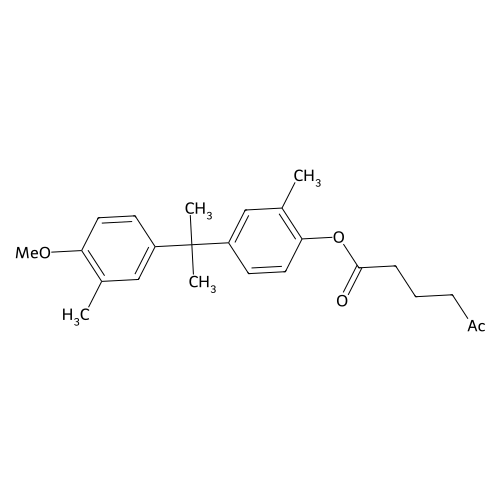 COc1ccc(C(C)(C)c2ccc(OC(=O)CCCC(C)=O)c(C)c2)cc1C